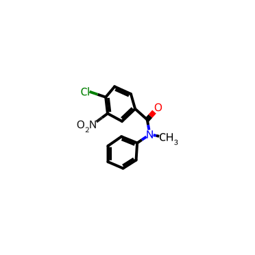 CN(C(=O)c1ccc(Cl)c([N+](=O)[O-])c1)c1ccccc1